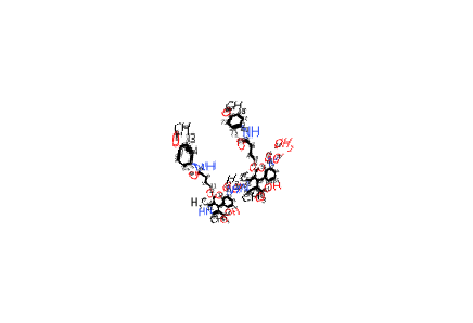 COc1ccc(NC(=O)CCCOC(=O)C2=C(C)NC(C)=C(C(=O)O)C2c2cccc([N+](=O)[O-])c2)cc1.COc1ccc(NC(=O)CCCOC(=O)C2=C(C)NC(C)=C(C(=O)O)C2c2cccc([N+](=O)[O-])c2)cc1.O